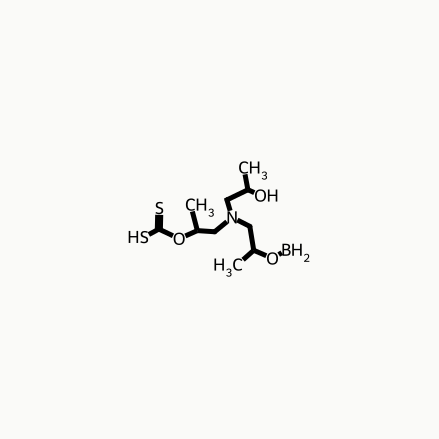 BOC(C)CN(CC(C)O)CC(C)OC(=S)S